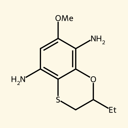 CCC1CSc2c(N)cc(OC)c(N)c2O1